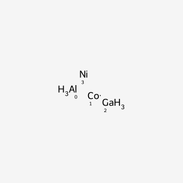 [AlH3].[Co].[GaH3].[Ni]